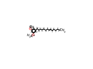 CCCCCCC=CCCCCCCCc1cc(OC)cc(OC)c1